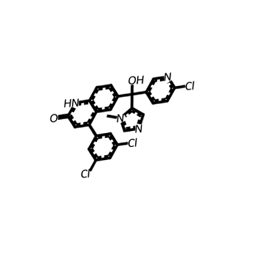 Cn1cncc1C(O)(c1ccc(Cl)nc1)c1ccc2[nH]c(=O)cc(-c3cc(Cl)cc(Cl)c3)c2c1